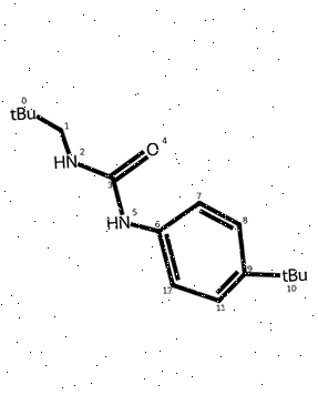 CC(C)(C)CNC(=O)Nc1ccc(C(C)(C)C)cc1